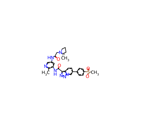 Cc1ncc(NC(=O)CN2CCC[C@@H]2C)cc1NC(=O)c1nnn2cc(-c3ccc(S(C)(=O)=O)cc3)ccc12